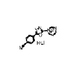 Cl.N#Cc1ccc(-c2nnc(N3CCN4CCC3CC4)o2)cc1